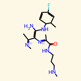 C/N=C(/C)C(/N=C(\C)C(=O)NCCCNC)=C(N)NC1C=CC(F)=CC1C